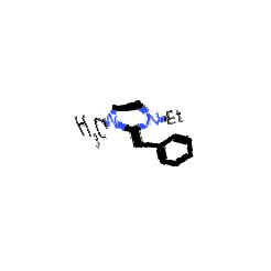 CCN1C=CN(C)C1Cc1ccccc1